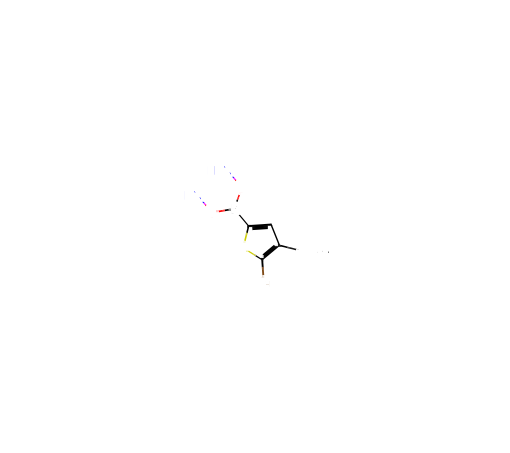 CCCCCCc1cc(B(ON)ON)sc1Br